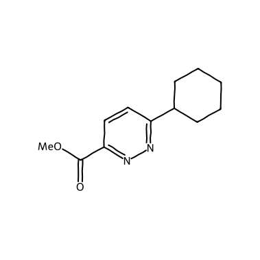 COC(=O)c1ccc(C2CCCCC2)nn1